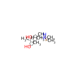 CC[C@@H]1C2C[C@H](O)CCC2(C)C2CCC3(C)C(CCC3[C@H](C)CCCNSC(C)C)[C@@H]2[C@@H]1O